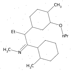 CCCOC1CC(C(CC)/C(=N\C)C2CCCCC2C)CCC1C